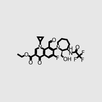 CCOC(=O)c1cn(C2CC2)c2c(C=O)c(N3CCCC[C@@H](NC(=O)C(F)(F)F)[C@H]3CO)c(F)cc2c1=O